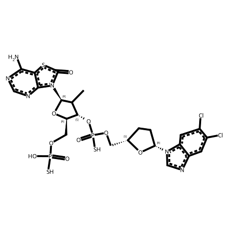 CC1[C@H](n2c(=O)sc3c(N)ncnc32)O[C@H](COP(=O)(O)S)[C@H]1OP(=O)(S)OC[C@@H]1CC[C@H](n2cnc3cc(Cl)c(Cl)cc32)O1